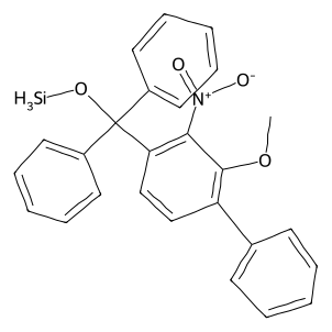 COc1c(-c2ccccc2)ccc(C(O[SiH3])(c2ccccc2)c2ccccc2)c1[N+](=O)[O-]